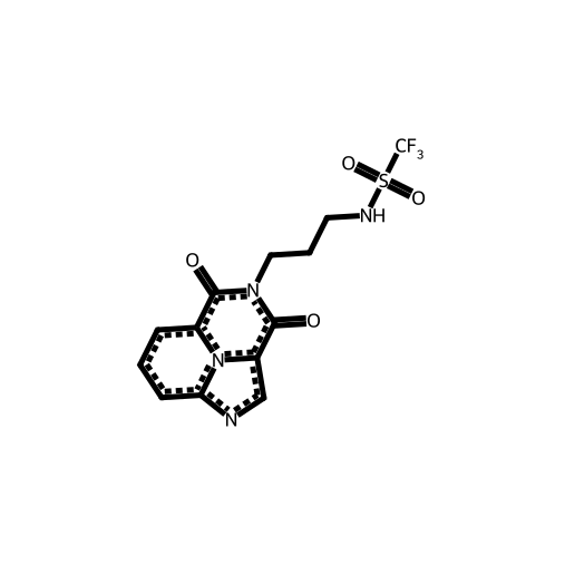 O=c1c2cccc3ncc(c(=O)n1CCCNS(=O)(=O)C(F)(F)F)n32